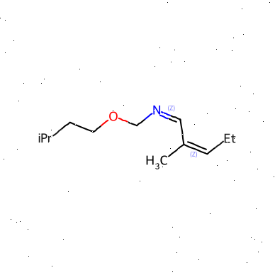 CC/C=C(C)\C=N/COCCC(C)C